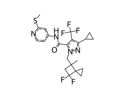 CSc1cc(NC(=O)c2c(C(F)(F)F)c(C3CC3)nn2CC2(C)CC(F)(F)C23CC3)ccn1